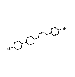 CCCc1ccc(C/C=C\CC2CCC(C3CCC(CC)CC3)CC2)cc1